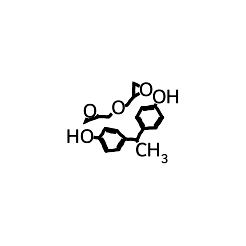 C(OCC1CO1)C1CO1.CC(c1ccc(O)cc1)c1ccc(O)cc1